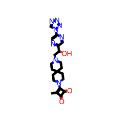 Cc1c(N2CCC3(CCN(CC(O)c4cnc(-n5cnnn5)cn4)CC3)CC2)c(=O)c1=O